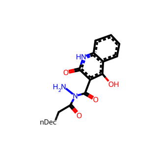 CCCCCCCCCCCC(=O)N(N)C(=O)c1c(O)c2ccccc2[nH]c1=O